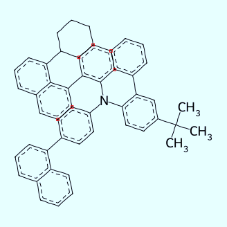 CC(C)(C)c1ccc(N(c2ccc(-c3cccc4ccccc34)cc2)c2ccccc2-c2cccc3cccc(C4CCCCC4)c23)c(-c2ccccc2)c1